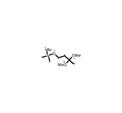 CCCC[Si](C)(C)OCCC(C)(OC)OC